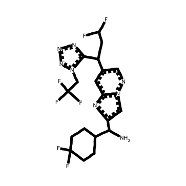 NC(c1cn2ncc(C(CC(F)F)c3nnnn3CC(F)(F)F)cc2n1)C1CCC(F)(F)CC1